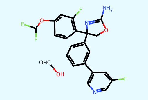 NC1=NC(c2cccc(-c3cncc(F)c3)c2)(c2ccc(OC(F)F)cc2F)CO1.O=CO